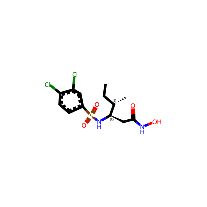 CC[C@H](C)[C@@H](CC(=O)NO)NS(=O)(=O)c1ccc(Cl)c(Cl)c1